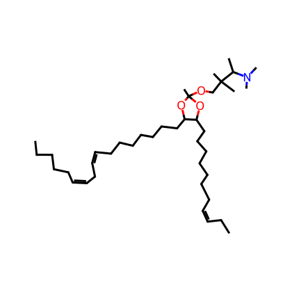 CC/C=C\CCCCCCCC1OC(C)(OCC(C)(C)C(C)N(C)C)OC1CCCCCCC/C=C\C/C=C\CCCCC